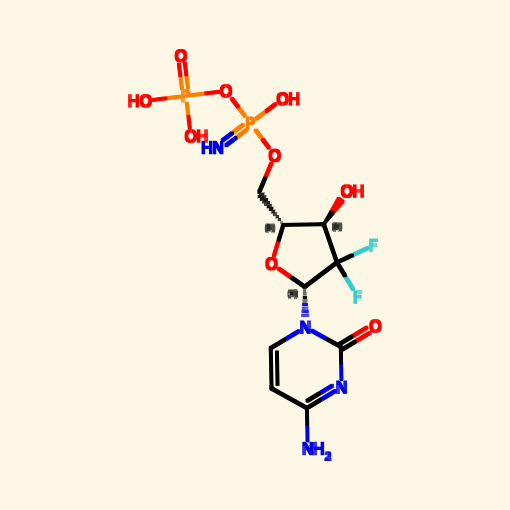 N=P(O)(OC[C@H]1O[C@@H](n2ccc(N)nc2=O)C(F)(F)[C@@H]1O)OP(=O)(O)O